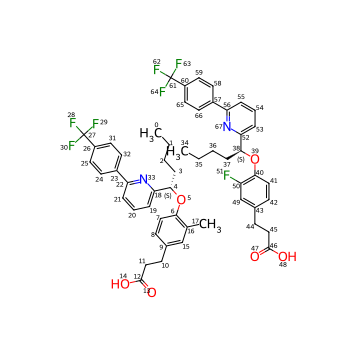 CCCC[C@H](Oc1ccc(CCC(=O)O)cc1C)c1cccc(-c2ccc(C(F)(F)F)cc2)n1.CCCC[C@H](Oc1ccc(CCC(=O)O)cc1F)c1cccc(-c2ccc(C(F)(F)F)cc2)n1